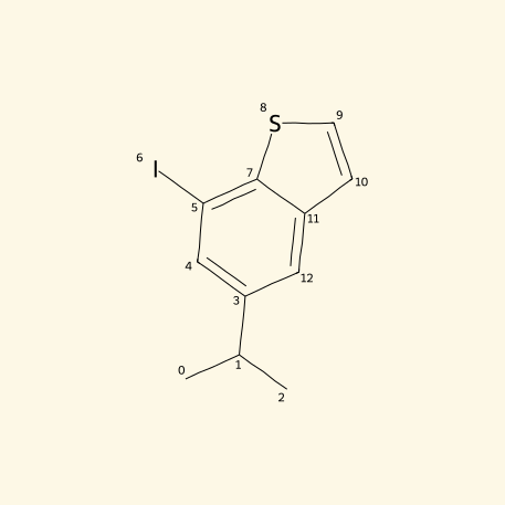 CC(C)c1cc(I)c2sccc2c1